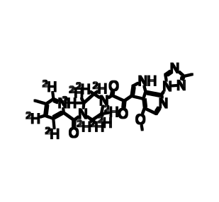 [2H]c1nc(C(=O)N2C([2H])([2H])C([2H])([2H])N(C(=O)C(=O)c3c[nH]c4c(-n5cnc(C)n5)ncc(OC)c34)C([2H])([2H])C2([2H])[2H])c([2H])c([2H])c1C